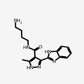 Cc1[nH]nc(-c2nc3ccccc3[nH]2)c1C(=O)NCCCCN